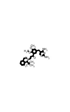 COc1cc(Cc2cnc(N)nc2N)cc(C(=O)C=CN2N=Cc3ccccc3C2C(C)(C)C)c1OC